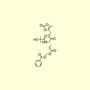 Cc1oc(=O)oc1COC(=O)[C@H](CSC(=O)OCOC(=O)c1ccccc1)NC(=O)C(C)(C)S